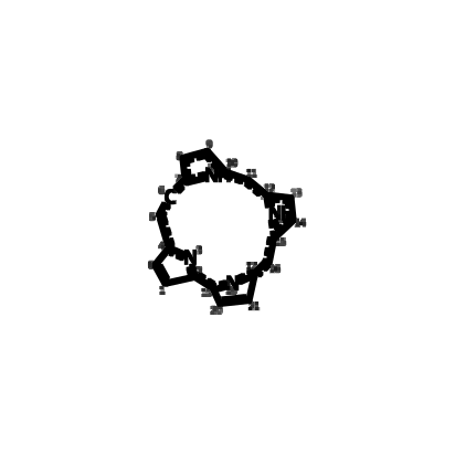 C1=Cc2nc1ccc1ccc(cc3ccc(cc4nc2C=C4)[nH]3)[nH]1